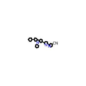 N#Cc1ccnc(-c2ccc(-c3ccc4c5ccc(-c6ccccc6)cc5n(-c5ccccc5)c4c3)cn2)c1